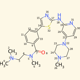 CN(C)CCN(C)C(=O)c1cccc(-c2cnc(Nc3cc(N4CCN(C)CC4)ccn3)s2)c1